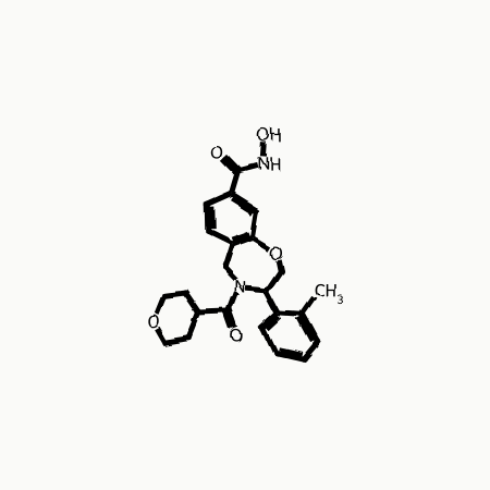 Cc1ccccc1C1COc2cc(C(=O)NO)ccc2CN1C(=O)C1CCOCC1